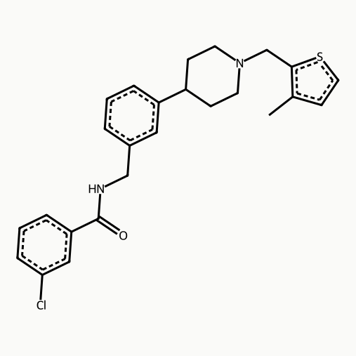 Cc1ccsc1CN1CCC(c2cccc(CNC(=O)c3cccc(Cl)c3)c2)CC1